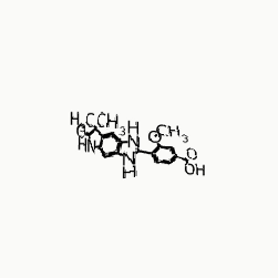 COc1cc(C(=O)O)ccc1C1Nc2cc3c(cc2N1)C(C)(C)C(=O)N3